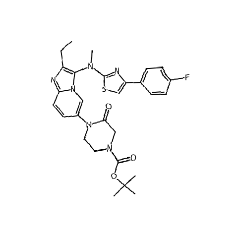 CCc1nc2ccc(N3CCN(C(=O)OC(C)(C)C)CC3=O)cn2c1N(C)c1nc(-c2ccc(F)cc2)cs1